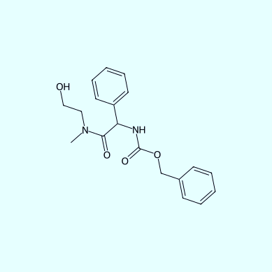 CN(CCO)C(=O)C(NC(=O)OCc1ccccc1)c1ccccc1